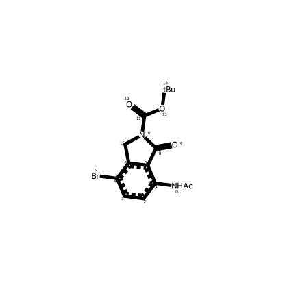 CC(=O)Nc1ccc(Br)c2c1C(=O)N(C(=O)OC(C)(C)C)C2